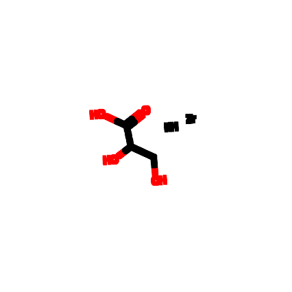 O=C(O)C(O)CO.[KH].[Zr]